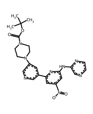 CC(C)(C)OC(=O)N1CCN(c2cncc(-c3cc([N+](=O)[O-])cc(Nc4cnccn4)n3)c2)CC1